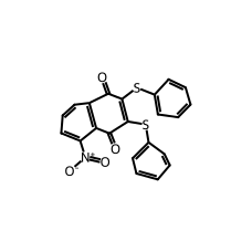 O=C1C(Sc2ccccc2)=C(Sc2ccccc2)C(=O)c2c1cccc2[N+](=O)[O-]